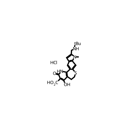 Cl.Cn1c(CNC(C)(C)C)cc2cc3c(cc21)SCCc1c-3[nH]c(=O)c(C(=O)O)c1O